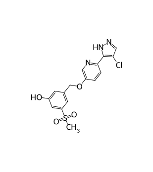 CS(=O)(=O)c1cc(O)cc(COc2ccc(-c3[nH]ncc3Cl)nc2)c1